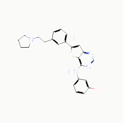 Cl.Oc1cccc(Nc2ncnc3cc(-c4cccc(CCN5CCCC5)c4)sc23)c1